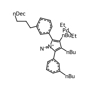 CCCCCCCCCCCCCc1cccc(C2=C(CCCC)C(CCCC)=C(c3cccc(CCCC)c3)[N+]2=[N-])c1.C[CH2][Pd][CH2]C